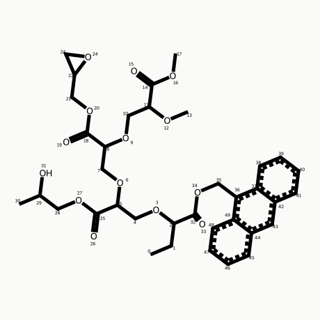 CCC(OCC(OCC(OCC(OC)C(=O)OC)C(=O)OCC1CO1)C(=O)OCC(C)O)C(=O)OCc1c2ccccc2cc2ccccc12